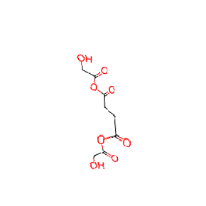 O=C(CO)OC(=O)CCC(=O)OC(=O)CO